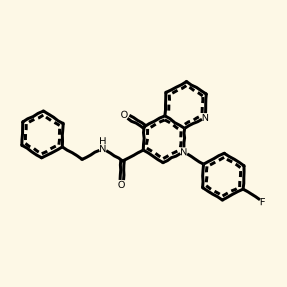 O=C(NCc1ccccc1)c1cn(-c2ccc(F)cc2)c2ncccc2c1=O